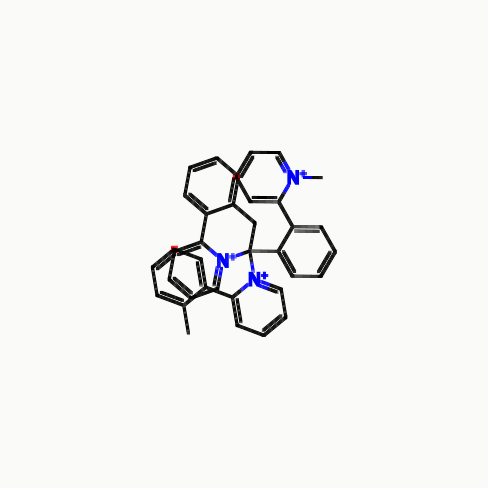 Cc1ccccc1-c1cccc[n+]1C1(c2ccccc2-c2cccc[n+]2C)Cc2ccccc2-c2cccc[n+]21